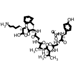 CC(C)[C@H](NC(=O)CNC(=O)[C@H](Cc1ccc(O)cc1)N[N+](=O)[O-])C(=O)N[C@@H](C)C(=O)NCC(=O)N[C@@H](Cc1ccccc1)C(=O)N[C@@H](CCCCN)C(=O)O